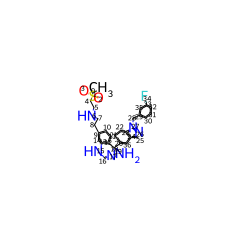 CS(=O)(=O)CCNCCc1ccc2c(c1)NC=NC2(N)c1ccc2c(cnn2Cc2cccc(F)c2)c1